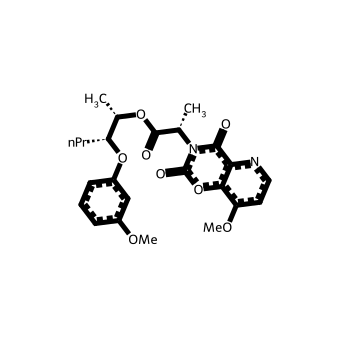 CCC[C@@H](Oc1cccc(OC)c1)[C@H](C)OC(=O)[C@H](C)n1c(=O)oc2c(OC)ccnc2c1=O